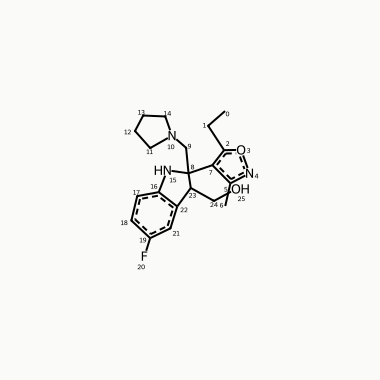 CCc1onc(C)c1C1(CN2CCCC2)Nc2ccc(F)cc2C1CO